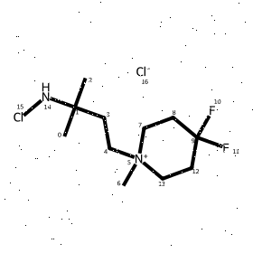 CC(C)(CC[N+]1(C)CCC(F)(F)CC1)NCl.[Cl-]